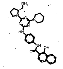 NC[C@@H]1CCCN1c1nc(Nc2ccc(NC(=O)c3ccc4ccccc4c3O)cc2)nc(N2CCCCC2)n1